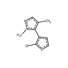 Cc1cnn(C)c1-c1ccsc1Cl